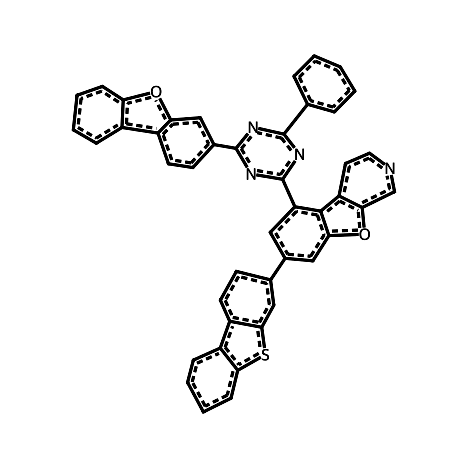 c1ccc(-c2nc(-c3ccc4c(c3)oc3ccccc34)nc(-c3cc(-c4ccc5c(c4)sc4ccccc45)cc4oc5cnccc5c34)n2)cc1